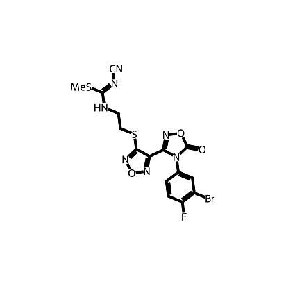 CSC(=NC#N)NCCSc1nonc1-c1noc(=O)n1-c1ccc(F)c(Br)c1